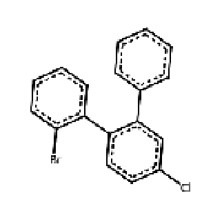 Clc1ccc(-c2ccccc2Br)c(-c2ccccc2)c1